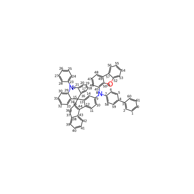 c1ccc(-c2ccc(N(c3ccc4c(c3)C3(c5ccccc5N(c5ccccc5)c5ccccc53)c3ccc5ccccc5c3-4)c3cccc4c3oc3ccccc34)cc2)cc1